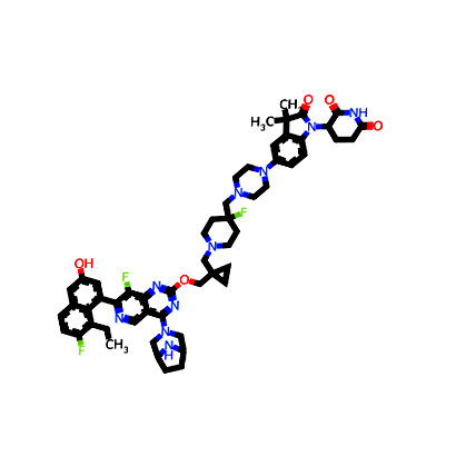 CCc1c(F)ccc2cc(O)cc(-c3ncc4c(N5CC6CCC(C5)N6)nc(OCC5(CN6CCC(F)(CN7CCN(c8ccc9c(c8)C(C)(C)C(=O)N9C8CCC(=O)NC8=O)CC7)CC6)CC5)nc4c3F)c12